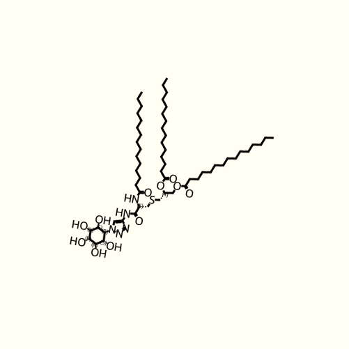 CCCCCCCCCCCCCCC(=O)N[C@H](CSC[C@@H](COC(=O)CCCCCCCCCCCCCC)OC(=O)CCCCCCCCCCCCCC)C(=O)Nc1cn([C@@H]2[C@H](O)[C@H](O)[C@@H](O)[C@H](O)[C@H]2O)nn1